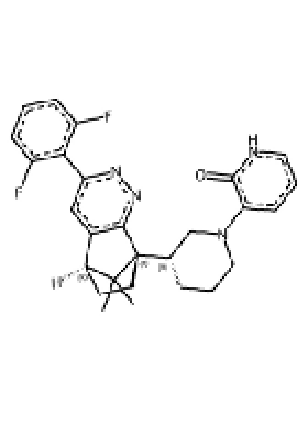 CC1(C)[C@H]2CC[C@]1([C@H]1CCCN(c3ccc[nH]c3=O)C1)c1nnc(-c3c(F)cccc3F)cc12